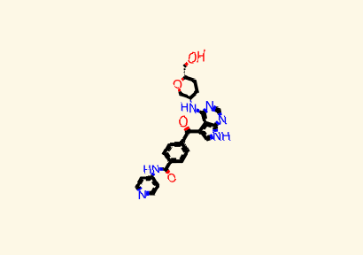 O=C(Nc1ccncc1)c1ccc(C(=O)c2c[nH]c3ncnc(N[C@H]4CC[C@@H](CO)OC4)c23)cc1